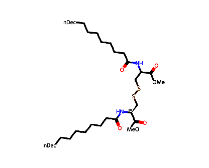 CCCCCCCCCCCCCCCCCC(=O)NC(CSSC[C@H](NC(=O)CCCCCCCCCCCCCCCCC)C(=O)OC)C(=O)OC